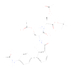 CC(=O)Nc1ccc(-c2cccc3c2CN([C@@H](COC(C)=O)C(=O)N[C@@H](COC(C)=O)C(=O)OC(C)(C)C)C3=O)cc1